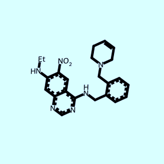 CCNc1cc2ncnc(NCc3ccccc3CN3CC=CCC3)c2cc1[N+](=O)[O-]